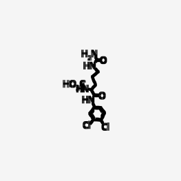 NC(=O)NCCCC(NC(=O)O)C(=O)Nc1ccc(Cl)c(Cl)c1